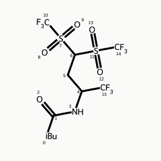 CCC(C)C(=O)NC(CC(S(=O)(=O)C(F)(F)F)S(=O)(=O)C(F)(F)F)C(F)(F)F